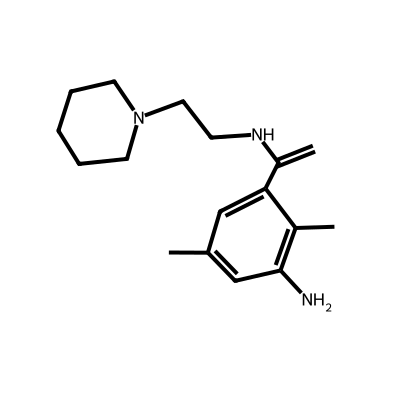 C=C(NCCN1CCCCC1)c1cc(C)cc(N)c1C